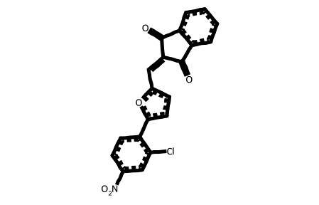 O=C1C(=Cc2ccc(-c3ccc([N+](=O)[O-])cc3Cl)o2)C(=O)c2ccccc21